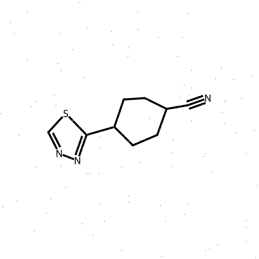 N#CC1CCC(c2nncs2)CC1